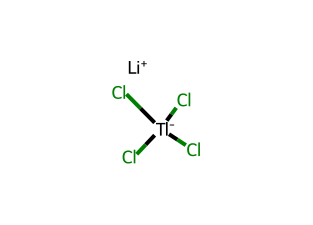 [Cl][Tl-]([Cl])([Cl])[Cl].[Li+]